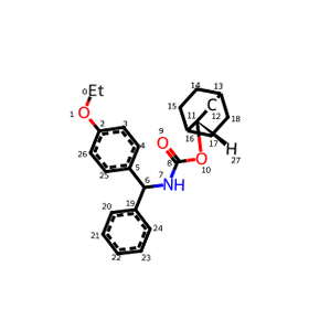 CCOc1ccc(C(NC(=O)O[C@H]2CC3CCC2CC3)c2ccccc2)cc1